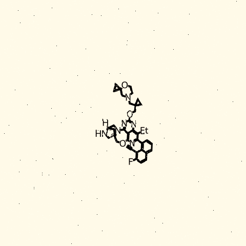 C#Cc1c(F)ccc2cccc(-c3nc4c5c(nc(OCC6(CN7CCOC8(CC8)C7)CC6)nc5c3CC)N3C[C@H]5C[C@@]3(CN5)CO4)c12